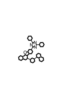 c1ccc(-c2nc(-c3ccccc3)nc(-c3ccc4c(c3)oc3c5ccccc5cc(-c5cccc(-c6cccc7ccccc67)c5)c43)n2)cc1